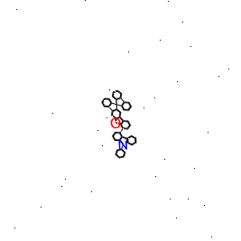 c1ccc(-n2c3ccccc3c3c(-c4cccc5c4oc4cc6c(cc45)C4(c5ccccc5-c5ccccc54)c4ccccc4-6)cccc32)cc1